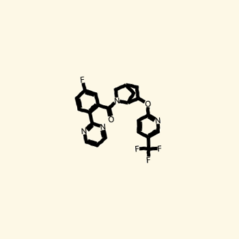 O=C(c1cc(F)ccc1-c1ncccn1)N1CC2CC(Oc3ccc(C(F)(F)F)cn3)C1C2